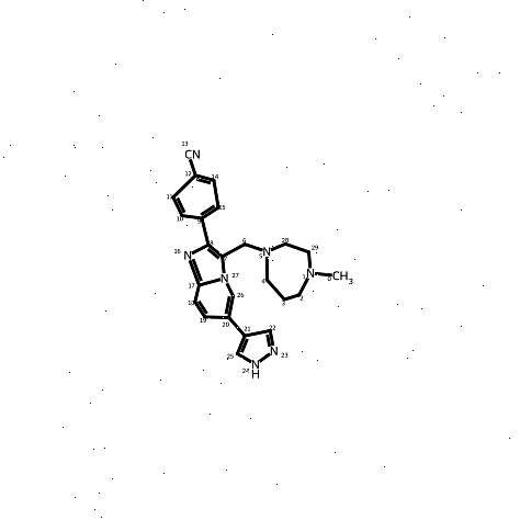 CN1CCCN(Cc2c(-c3ccc(C#N)cc3)nc3ccc(-c4cn[nH]c4)cn23)CC1